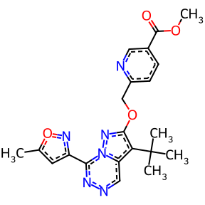 COC(=O)c1ccc(COc2nn3c(-c4cc(C)on4)nncc3c2C(C)(C)C)nc1